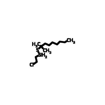 CCCCCCCC(C)(C)S[SiH2]CCCl